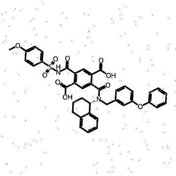 COc1ccc(S(=O)(=O)NC(=O)c2cc(C(=O)O)c(C(=O)N(Cc3cccc(Oc4ccccc4)c3)[C@H]3CCCc4ccccc43)cc2C(=O)O)cc1